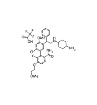 COCCOc1ccc(C(N)=O)c(-c2cc(C(CNC3CCC(N)CC3)c3ccccc3)c(OC)cc2Cl)c1F.O=C(O)C(F)(F)F